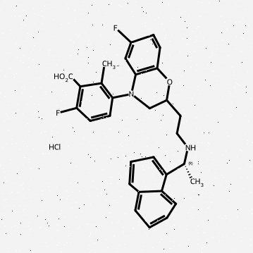 Cc1c(N2CC(CCN[C@H](C)c3cccc4ccccc34)Oc3ccc(F)cc32)ccc(F)c1C(=O)O.Cl